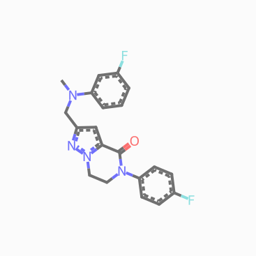 CN(Cc1cc2n(n1)CCN(c1ccc(F)cc1)C2=O)c1cccc(F)c1